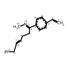 C=Cc1ccc(/C(CC/C=C/CC(C)C)=N/C)cc1